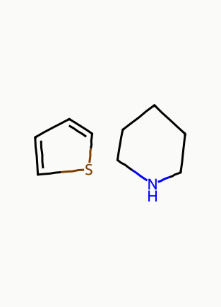 C1CCNCC1.c1ccsc1